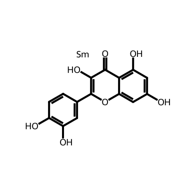 O=c1c(O)c(-c2ccc(O)c(O)c2)oc2cc(O)cc(O)c12.[Sm]